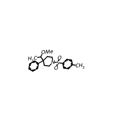 COC(C)C1(c2ccccc2)CCN(S(=O)(=O)c2ccc(C)cc2)CC1